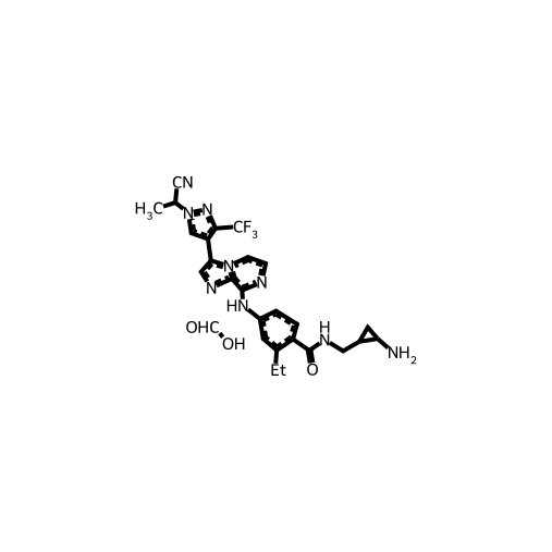 CCc1cc(Nc2nccn3c(-c4cn(C(C)C#N)nc4C(F)(F)F)cnc23)ccc1C(=O)NCC1CC1N.O=CO